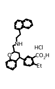 CCc1ccc(C2CC(CNCCc3cccc4ccccc34)Oc3ccccc32)cc1C(=O)O.Cl